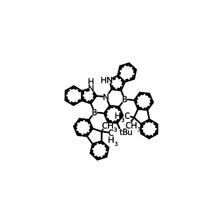 CC(C)(C)c1cc2c3c(c1)B(c1cccc4c1C(C)(C)c1ccccc1-4)c1c([nH]c4ccccc14)N3c1[nH]c3ccccc3c1B2c1cccc2c1C(C)(C)c1ccccc1-2